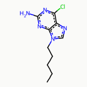 CCCCCn1cnc2c(Cl)nc(N)nc21